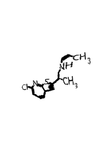 C/C=C\NC[C@@H](C)C1=CC2C#CC=C(Cl)N=C2S1